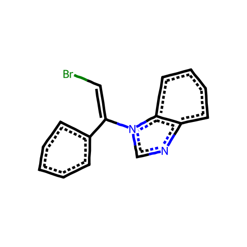 BrC=C(c1ccccc1)n1cnc2ccccc21